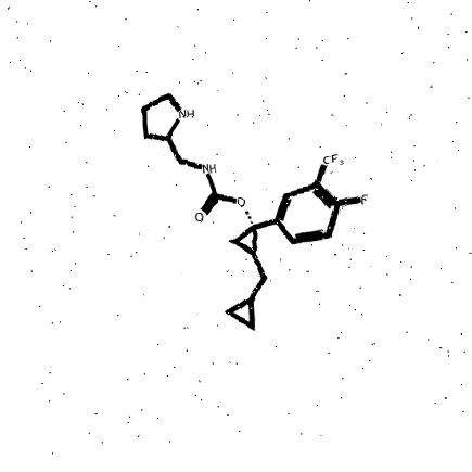 O=C(NCC1CCCN1)O[C@@]1(c2ccc(F)c(C(F)(F)F)c2)CC1CC1CC1